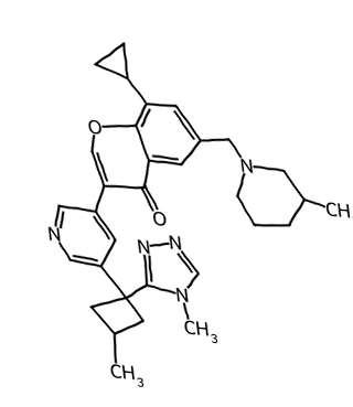 CC1CCCN(Cc2cc(C3CC3)c3occ(-c4cncc(C5(c6nncn6C)CC(C)C5)c4)c(=O)c3c2)C1